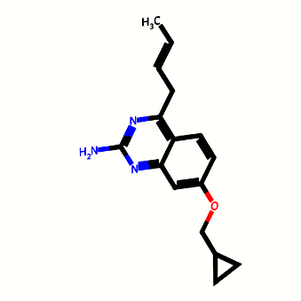 CC=CCc1nc(N)nc2cc(OCC3CC3)ccc12